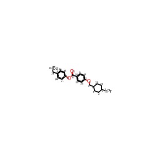 CCCC1CCC(COc2ccc(C(=O)Oc3ccc(CC(C)CC)cc3)cc2)CC1